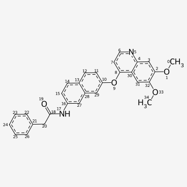 COc1cc2nccc(Oc3ccc4ccc(NC(=O)Cc5ccccc5)cc4c3)c2cc1OC